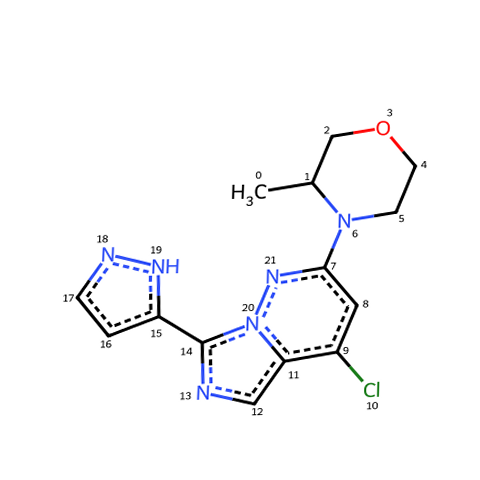 CC1COCCN1c1cc(Cl)c2cnc(-c3ccn[nH]3)n2n1